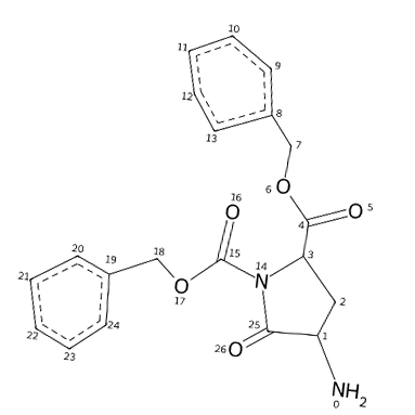 NC1CC(C(=O)OCc2ccccc2)N(C(=O)OCc2ccccc2)C1=O